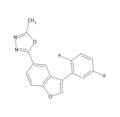 Cc1nnc(-c2ccc3occ(-c4cc(F)ccc4F)c3c2)o1